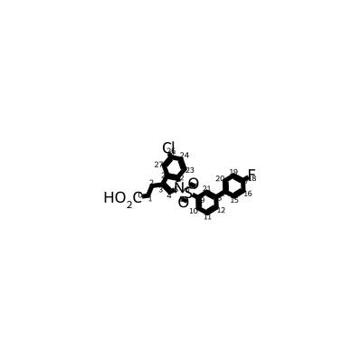 O=C(O)CCc1cn(S(=O)(=O)c2cccc(-c3ccc(F)cc3)c2)c2ccc(Cl)cc12